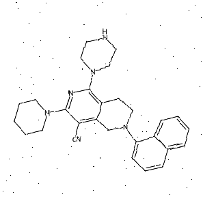 N#Cc1c(N2CCCCC2)nc(N2CCNCC2)c2c1CN(c1cccc3ccccc13)CC2